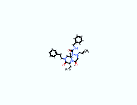 C=CCN1CC(=O)N2[C@@H](CC(C)C)C(=O)N(CCc3ccccc3)C[C@@H]2N1C(=O)NCc1ccccc1